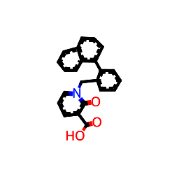 O=C(O)c1cccn(Cc2ccccc2-c2cccc3ccccc23)c1=O